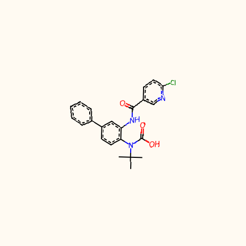 CC(C)(C)N(C(=O)O)c1ccc(-c2ccccc2)cc1NC(=O)c1ccc(Cl)nc1